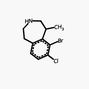 CC1CNCCc2ccc(Cl)c(Br)c21